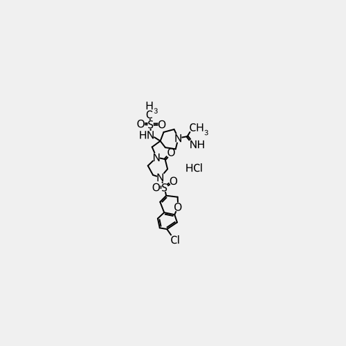 CC(=N)N1CCC(CN2CCN(S(=O)(=O)C3=Cc4ccc(Cl)cc4OC3)CC2=O)(NS(C)(=O)=O)CC1.Cl